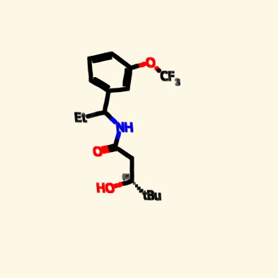 CCC(NC(=O)C[C@@H](O)C(C)(C)C)c1cccc(OC(F)(F)F)c1